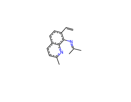 C=Cc1ccc2ccc(C)nc2c1N=C(C)C